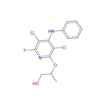 CC(CO)Oc1nc(F)c(Cl)c(Nc2ccccc2)c1Cl